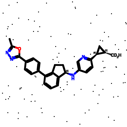 Cc1nnc(-c2ccc(-c3cccc4c3CC[C@H]4Nc3ccc([C@H]4C[C@@H]4C(=O)O)nc3)cc2)o1